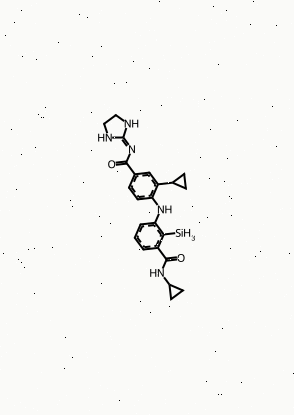 O=C(N=C1NCCN1)c1ccc(Nc2cccc(C(=O)NC3CC3)c2[SiH3])c(C2CC2)c1